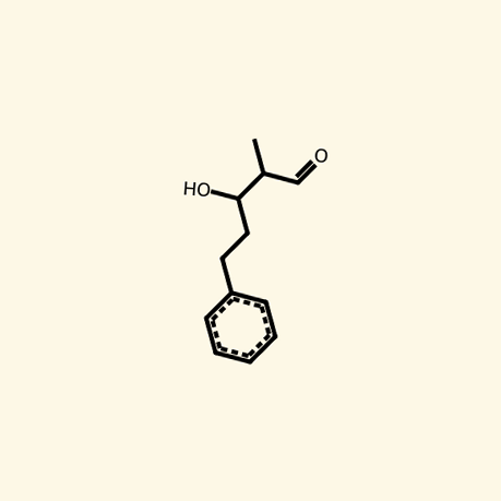 CC(C=O)C(O)CCc1ccccc1